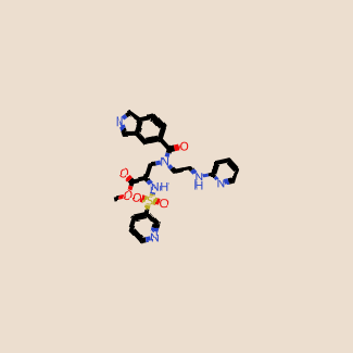 COC(=O)C(CN(CCNc1ccccn1)C(=O)c1ccc2c(c1)C=NC2)NS(=O)(=O)c1cccnc1